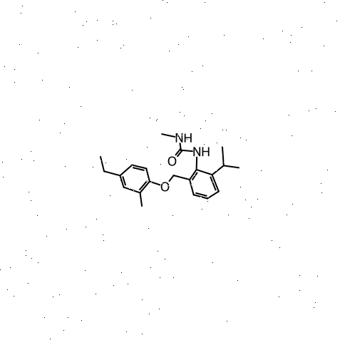 CCc1ccc(OCc2cccc(C(C)C)c2NC(=O)NC)c(C)c1